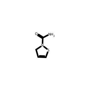 NC(=O)N1CC=CS1